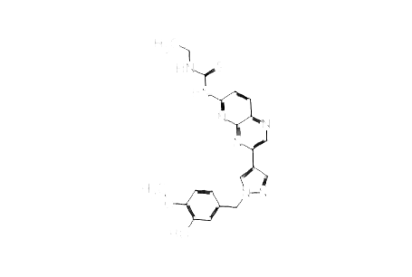 CCNC(=S)Nc1ccc2ncc(-c3cnn(Cc4ccc(OC)c(O)c4)c3)nc2n1